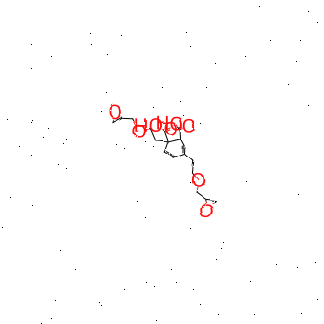 O=C(O)C1C=C(CCOCC2CO2)C=CC1(CCOCC1CO1)C(=O)O